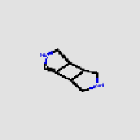 C1=C2C(CN1)C1CNCC21